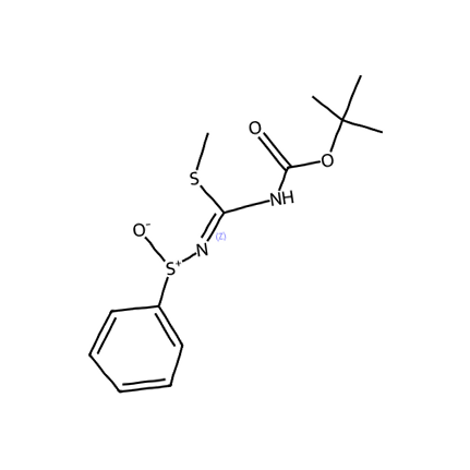 CS/C(=N\[S+]([O-])c1ccccc1)NC(=O)OC(C)(C)C